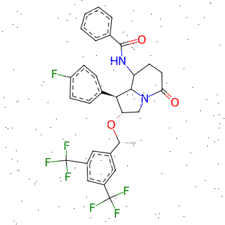 C[C@@H](O[C@H]1CN2C(=O)CCC(NC(=O)c3ccccc3)C2[C@@H]1c1ccc(F)cc1)c1cc(C(F)(F)F)cc(C(F)(F)F)c1